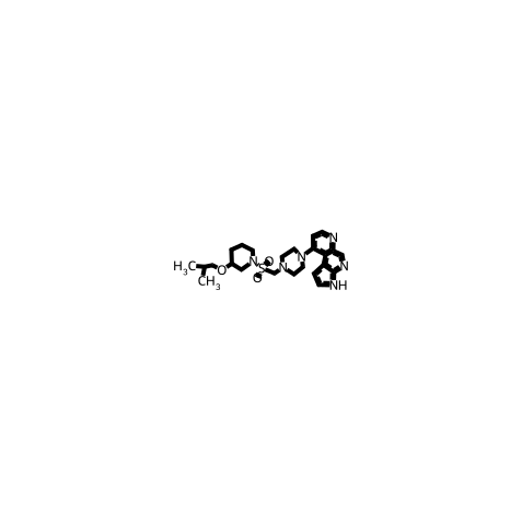 CC(C)COC1CCCN(S(=O)(=O)CN2CCN(c3ccnc4cnc5[nH]ccc5c34)CC2)C1